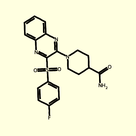 NC(=O)C1CCN(c2nc3ccccc3nc2S(=O)(=O)c2ccc(F)cc2)CC1